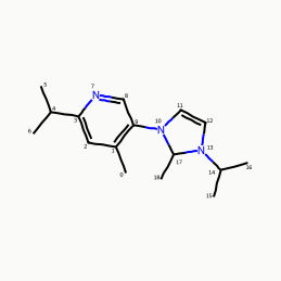 Cc1cc(C(C)C)ncc1N1C=CN(C(C)C)C1C